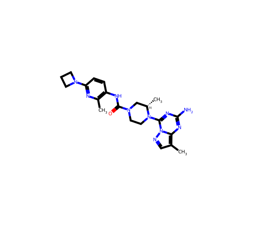 Cc1nc(N2CCC2)ccc1NC(=O)N1CCN(c2nc(N)nc3c(C)cnn23)[C@@H](C)C1